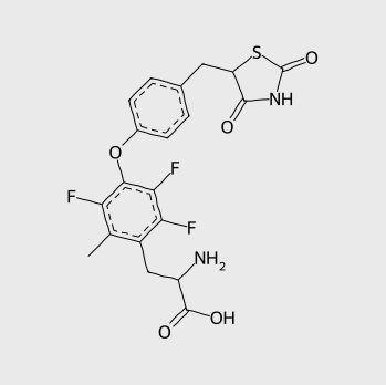 Cc1c(F)c(Oc2ccc(CC3SC(=O)NC3=O)cc2)c(F)c(F)c1CC(N)C(=O)O